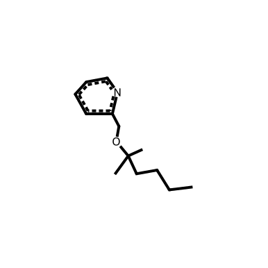 CCCCC(C)(C)OCc1ccccn1